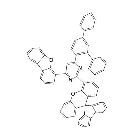 c1ccc(-c2ccc(-c3cc(-c4cccc5c4oc4ccccc45)nc(-c4cccc5c4Oc4ccccc4C54c5ccccc5-c5ccccc54)n3)c(-c3ccccc3)c2)cc1